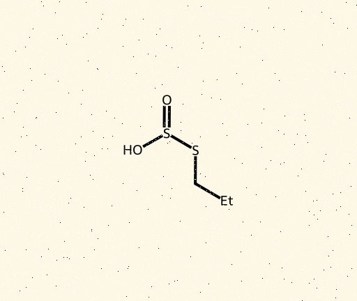 CCCSS(=O)O